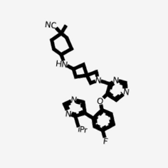 CC(C)c1ncncc1-c1cc(F)ccc1Oc1cncnc1N1CC2(CC(NC3CCC(C)(C#N)CC3)C2)C1